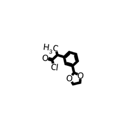 CC(C(=O)Cl)c1cccc(C2OCCO2)c1